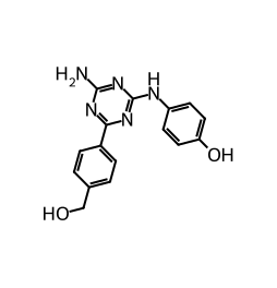 Nc1nc(Nc2ccc(O)cc2)nc(-c2ccc(CO)cc2)n1